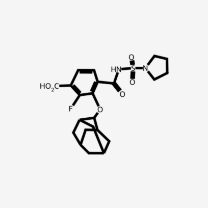 O=C(O)c1ccc(C(=O)NS(=O)(=O)N2CCCC2)c(OC2C3CC4CC(C3)CC2C4)c1F